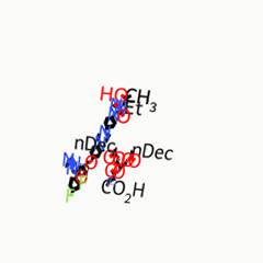 CCC(C(C)O)n1ncn(-c2ccc(N3CCN(c4ccc(OC[C@@H]5COC(Cn6cncn6)(c6ccc(F)cc6F)C5)cc4)CC3)cc2)c1=O.CCCCCCCCCCCC(=O)OCC(COC(=O)CCCCCCCCCCC)OC(=O)/C=C/C(=O)O